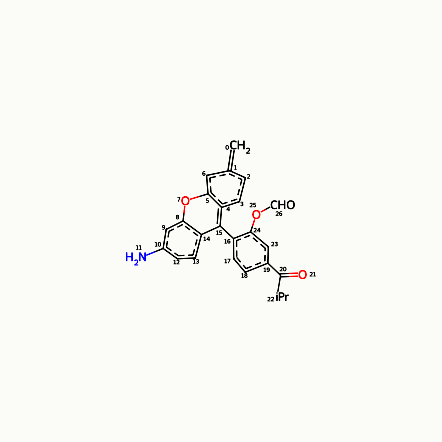 C=c1ccc2c(c1)Oc1cc(N)ccc1C=2c1ccc(C(=O)C(C)C)cc1OC=O